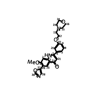 COc1cc2[nH]c(-c3cccc(OCCN4CCOCC4)c3)cc(=O)c2cc1-c1cnco1